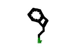 BrCCC1=Cc2ccccc21